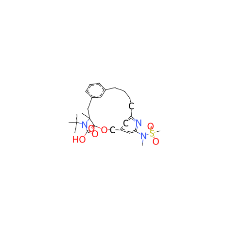 CN(c1cc2cc(n1)CCCCc1cccc(c1)CC(C)(N(C(=O)O)C(C)(C)C)C(=O)OC2)S(C)(=O)=O